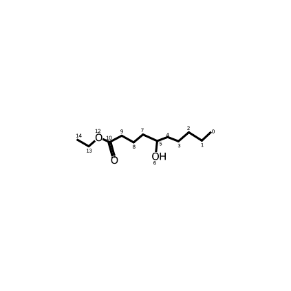 CCCCCC(O)CCCC(=O)OCC